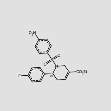 CCOC(=O)C1=CC[C@H](c2ccc(F)cc2)N(S(=O)(=O)c2ccc([N+](=O)[O-])cc2)C1